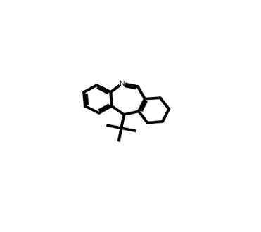 CC(C)(C)C1C2=C(C=Nc3ccccc31)CCCC2